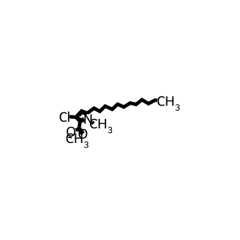 CCCCCCCCCCCCc1cc(Cl)c(C(=O)OC)n1C